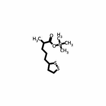 CC(CCCC1CCSS1)C(=O)O[Si](C)(C)C